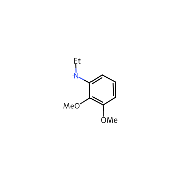 CC[N]c1cccc(OC)c1OC